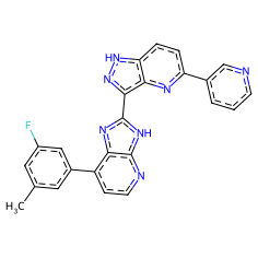 Cc1cc(F)cc(-c2ccnc3[nH]c(-c4n[nH]c5ccc(-c6cccnc6)nc45)nc23)c1